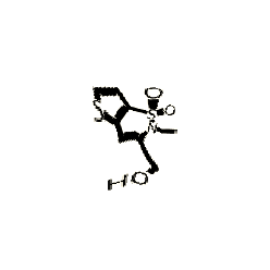 CN1C(CO)=Cc2sccc2S1(=O)=O